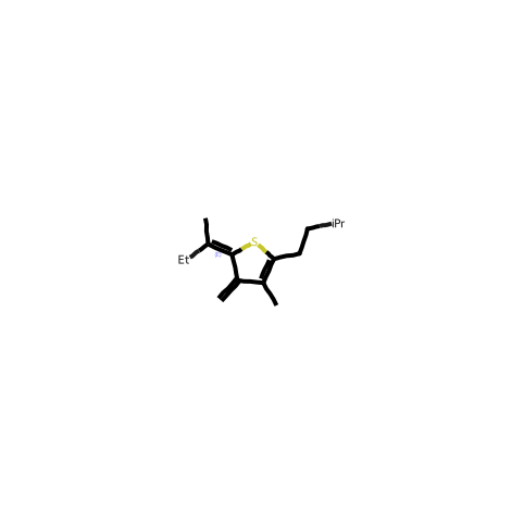 C=c1c(C)c(CCC(C)C)s/c1=C(\C)CC